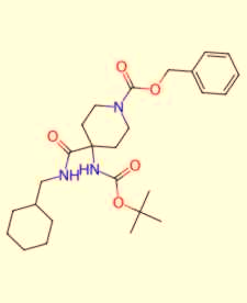 CC(C)(C)OC(=O)NC1(C(=O)NCC2CCCCC2)CCN(C(=O)OCc2ccccc2)CC1